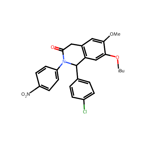 CCC(C)Oc1cc2c(cc1OC)CC(=O)N(c1ccc([N+](=O)[O-])cc1)C2c1ccc(Cl)cc1